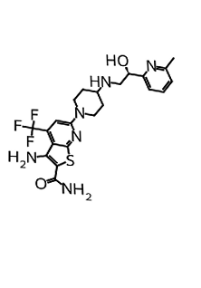 Cc1cccc([C@H](O)CNC2CCN(c3cc(C(F)(F)F)c4c(N)c(C(N)=O)sc4n3)CC2)n1